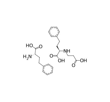 N[C@@H](CCc1ccccc1)C(=O)O.O=C(O)CCN[C@H](CCc1ccccc1)C(=O)O